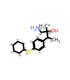 CC(c1ccc(SC2CCCCC2)cc1)C(C)(O)CN